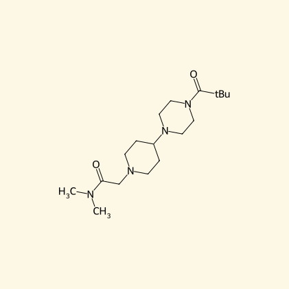 CN(C)C(=O)CN1CCC(N2CCN(C(=O)C(C)(C)C)CC2)CC1